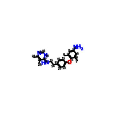 Cc1cc(N)cc(C)c1Oc1ccc(CCNc2ncnc(C)c2C)cc1